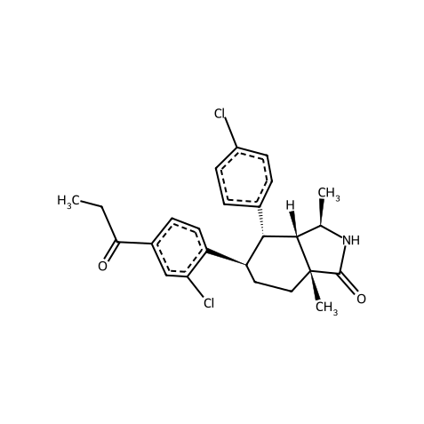 CCC(=O)c1ccc([C@@H]2CC[C@@]3(C)C(=O)N[C@H](C)[C@H]3[C@H]2c2ccc(Cl)cc2)c(Cl)c1